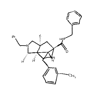 Cc1cccc(C[C@@H]2[C@@H]3[C@@H]4CN[C@@]2(C(=O)NCc2ccccc2)C[C@@H]4CN3CC(C)C)c1